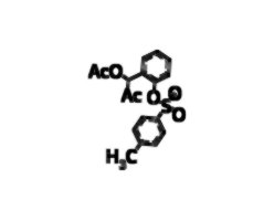 CC(=O)OC(C(C)=O)c1ccccc1OS(=O)(=O)c1ccc(C)cc1